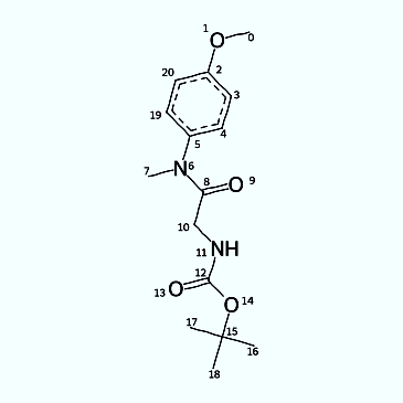 COc1ccc(N(C)C(=O)CNC(=O)OC(C)(C)C)cc1